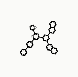 c1ccc(-c2ccc(-c3cc(-c4cc(-c5ccc6ccccc6c5)cc(-c5ccc6ccccc6c5)c4)nc(-c4ccco4)n3)cc2)cc1